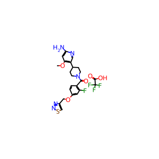 COc1cc(N)ncc1C1CCN(C(=O)c2ccc(OCc3csnn3)cc2F)CC1.O=C(O)C(F)(F)F